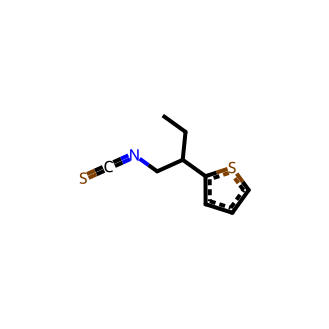 CCC(CN=C=S)c1cccs1